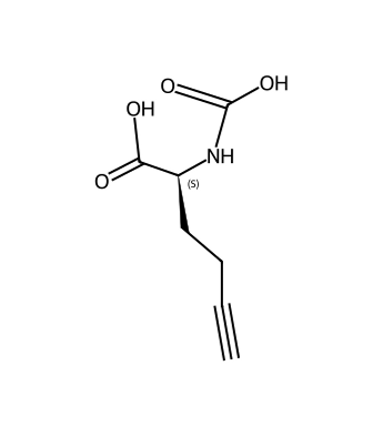 C#CCC[C@H](NC(=O)O)C(=O)O